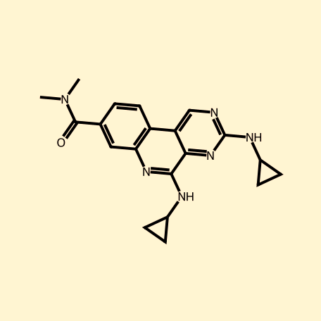 CN(C)C(=O)c1ccc2c(c1)nc(NC1CC1)c1nc(NC3CC3)ncc12